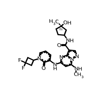 CNc1cc(Nc2cccn(C3CC(F)(F)C3)c2=O)nc2c(C(=O)NC3CC[C@](C)(O)C3)cnn12